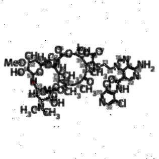 CO[C@]1(C)C[C@@H](C)C(=O)[C@H](C)[C@H]2C(SCCn3cnc4c(N)ncc(C(=O)Nc5c(Cl)cncc5Cl)c43)C(=O)O[C@]2(C)[C@@H](I)OC(=O)[C@H](C)[C@H]2O[C@H]3C[C@@](C)(OC)[C@@H](O)[C@H](C[C@@H]4C[C@H](N(C)C)[C@@H](O)[C@@H](O4)O[C@@H]1[C@H]2C)O3